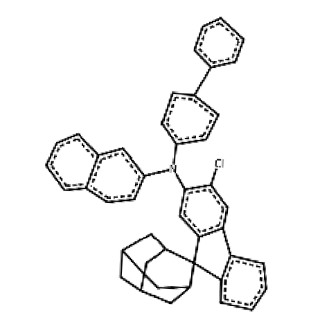 Clc1cc2c(cc1N(c1ccc(-c3ccccc3)cc1)c1ccc3ccccc3c1)C1(c3ccccc3-2)C2CC3CC(C2)CC1C3